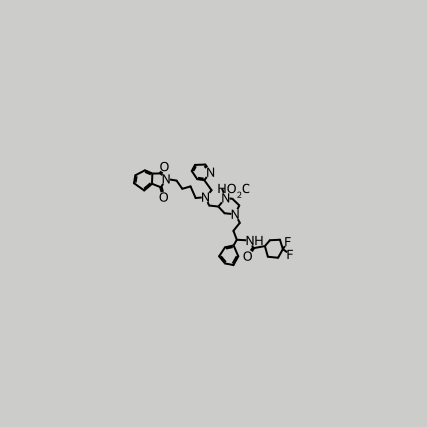 O=C(NC(CCN1CCN(C(=O)O)C(CN(CCCCN2C(=O)c3ccccc3C2=O)Cc2ccccn2)C1)c1ccccc1)C1CCC(F)(F)CC1